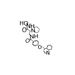 O=C(NCC(C(=O)NO)N1CCCCC1)c1ccc(OCc2ccnc3ccccc23)cc1